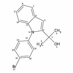 CC(C)(O)c1cc2ccccc2n1-c1ccc(Br)cc1